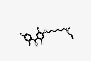 C=CCN(C)CCCCCCOc1cc(F)c(C(=O)c2ccc(F)cc2F)cc1F